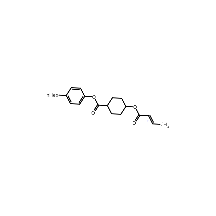 C/C=C/C(=O)OC1CCC(C(=O)Oc2ccc(CCCCCC)cc2)CC1